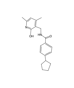 Cc1cc(C)c(CNC(=O)c2ccc(C3CCCC3)cc2)c(O)n1